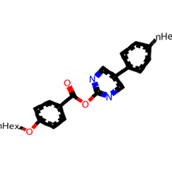 CCCCCCCc1ccc(-c2cnc(OC(=O)c3ccc(OCCCCCC)cc3)nc2)cc1